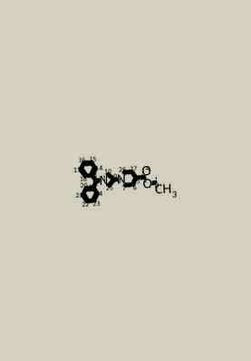 CCOC(=O)C1CCN(C2CN(C(c3ccccc3)c3ccccc3)C2)CC1